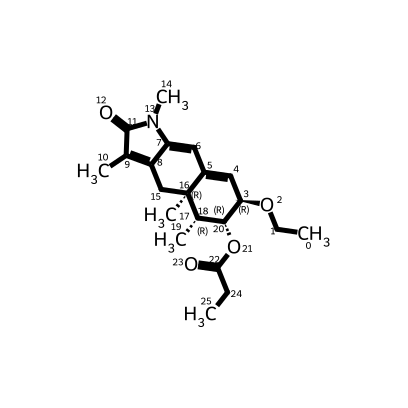 CCO[C@@H]1C=C2C=C3C(=C(C)C(=O)N3C)C[C@]2(C)[C@@H](C)[C@H]1OC(=O)CC